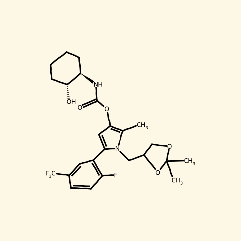 Cc1c(OC(=O)N[C@@H]2CCCC[C@H]2O)cc(-c2cc(C(F)(F)F)ccc2F)n1CC1COC(C)(C)O1